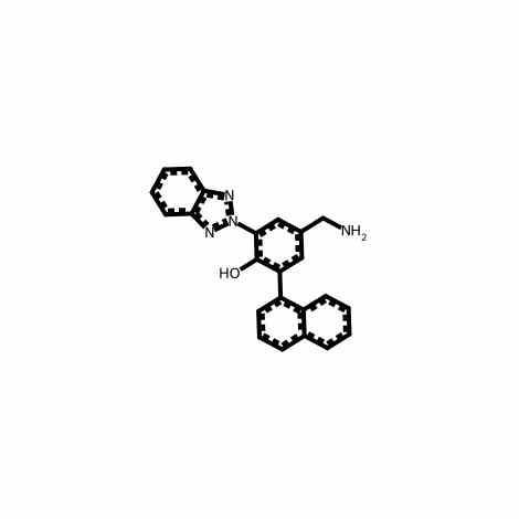 NCc1cc(-c2cccc3ccccc23)c(O)c(-n2nc3ccccc3n2)c1